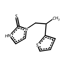 CC(Cn1cc[nH]c1=S)c1cccs1